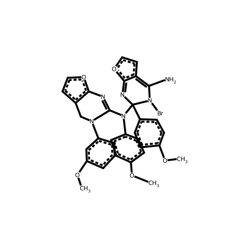 COc1ccc(N(C2=Nc3occc3CN2c2cccc(OC)c2)C2(c3ccc(OC)cc3)N=c3occc3=C(N)N2Br)cc1